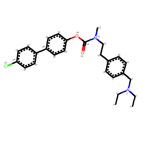 CCN(CC)Cc1ccc(CCN(C)C(=O)Oc2ccc(-c3ccc(Cl)cc3)cc2)cc1